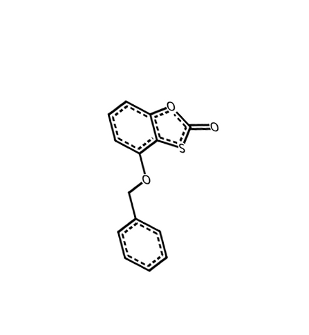 O=c1oc2cccc(OCc3ccccc3)c2s1